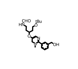 CN1CC(OC(CCNC=O)CCOC(C)(C)C)=CN=C1c1cccc(CO)c1